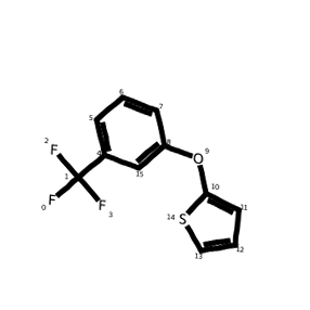 FC(F)(F)c1cccc(Oc2cccs2)c1